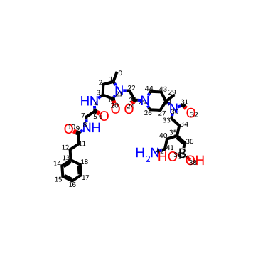 CC1CC(NC(=O)CNC(=O)CCc2ccccc2)C(=O)N1CC(=O)N1CCC(C)(N(C=O)CC/C(=C/B(O)O)CCN)CC1